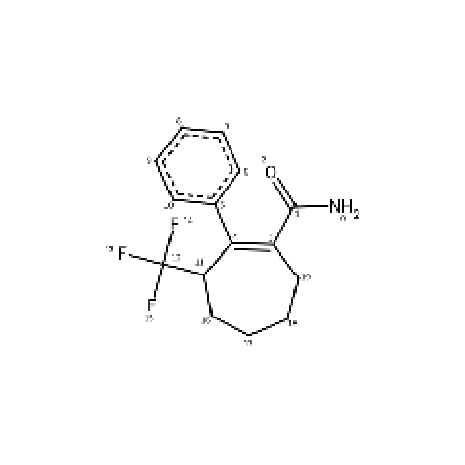 NC(=O)C1=C(c2ccccc2)C(C(F)(F)F)CCCC1